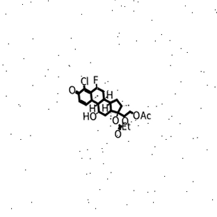 CCC(=O)O[C@]1(C(=O)COC(C)=O)[C@@H](C)C[C@H]2[C@@H]3C[C@H](F)C4=C(Cl)C(=O)C=C[C@]4(C)[C@H]3[C@@H](O)C[C@@]21C